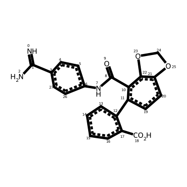 N=C(N)c1ccc(NC(=O)c2c(-c3ccccc3C(=O)O)ccc3c2OCO3)cc1